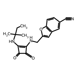 CCC(C)(C)Nc1c(NCc2cc3cc(C#N)ccc3o2)c(=O)c1=O